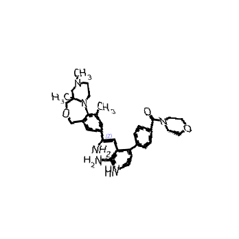 Cc1cc(/C(N)=C/c2c(-c3ccc(C(=O)N4CCOCC4)cc3)c[nH]c2N)cc2c1N1CCN(C)CC1(C)COC2